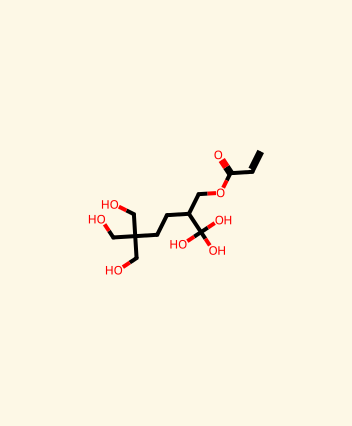 C=CC(=O)OCC(CCC(CO)(CO)CO)C(O)(O)O